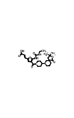 CCNC(=O)Nc1sc(C=CC(=O)O)cc1C(=O)N1CCC(N2CCCC3(C2)CC(C)(C)OC3=O)CC1